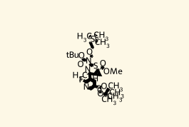 COC(=O)[C@]12C[C@H]1[C@@](C)(c1cc(B3OC(C)(C)C(C)(C)O3)cnc1F)N=C(N(COCC[Si](C)(C)C)C(=O)OC(C)(C)C)S2